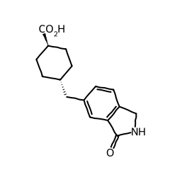 O=C1NCc2ccc(C[C@H]3CC[C@H](C(=O)O)CC3)cc21